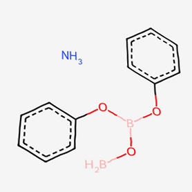 BOB(Oc1ccccc1)Oc1ccccc1.N